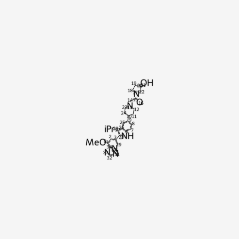 COc1cc(-c2[nH]c3ccc(C4CCN(CC(=O)N5CC[C@H](O)C5)CC4)cc3c2C(C)C)cn2ncnc12